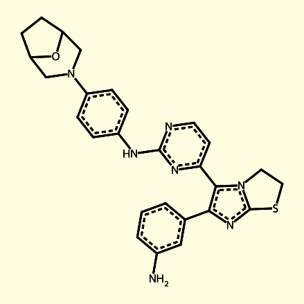 Nc1cccc(-c2nc3n(c2-c2ccnc(Nc4ccc(N5CC6CCC(C5)O6)cc4)n2)CCS3)c1